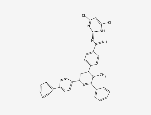 CN1C(c2ccccc2)=NC(c2ccc(-c3ccccc3)cc2)=CC1c1ccc(C(=N)/N=c2/nc(Cl)cc(Cl)[nH]2)cc1